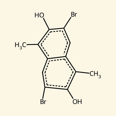 Cc1c(O)c(Br)cc2c(C)c(O)c(Br)cc12